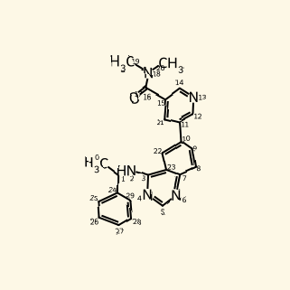 CC(Nc1ncnc2ccc(-c3cncc(C(=O)N(C)C)c3)cc12)c1ccccc1